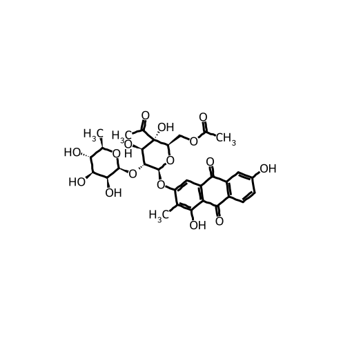 CC(=O)OC[C@H]1O[C@@H](Oc2cc3c(c(O)c2C)C(=O)c2ccc(O)cc2C3=O)[C@H](O[C@@H]2O[C@H](C)[C@@H](O)[C@H](O)[C@@H]2O)[C@@H](O)[C@@]1(O)C(C)=O